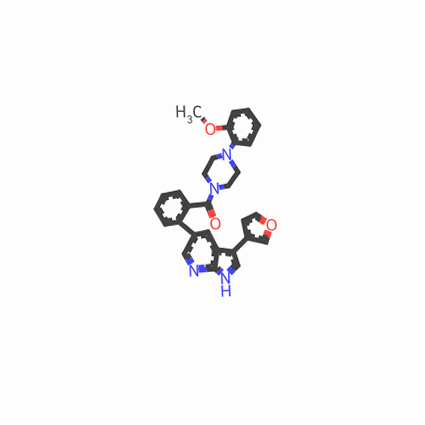 COc1ccccc1N1CCN(C(=O)c2ccccc2-c2cnc3[nH]cc(-c4ccoc4)c3c2)CC1